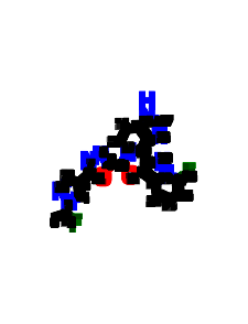 CC(F)n1cc(-c2nnc(C(=O)N3CCc4[nH]cnc4[C@H]3c3cc4cccc(F)n4n3)o2)cn1